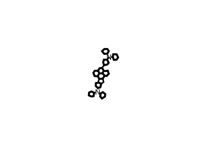 c1ccc(N(c2ccccc2)c2ccc(-c3cc4cccc5c6c(c7cccc3c7c45)Cc3cc(N(c4ccccc4)c4ccccc4)ccc3-6)cc2)cc1